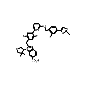 Cc1ncc(-c2ccc(COc3cccc(-c4cc(F)c(Cc5nc6ccc(C(=O)O)cc6n5[C@@H]5COCC5(C)C)cc4F)n3)c(F)c2)o1